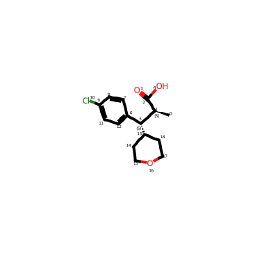 C[C@H](C(=O)O)[C@@H](c1ccc(Cl)cc1)C1CCOCC1